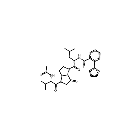 CC(=O)NC(C(=O)N1CC(=O)C2C1CCN2C(=O)C(CC(C)C)NC(=O)c1ccccc1-c1cccs1)C(C)C